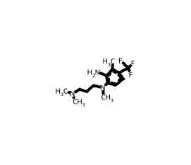 Cc1c(C(F)(F)F)ccc(N(C)CCCN(C)C)c1N